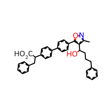 Cc1noc(-c2ccc(-c3ccc(C(Cc4ccccc4)C(=O)O)cc3)cc2)c1C(O)CCCc1ccccc1